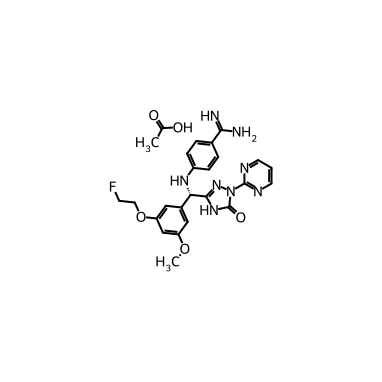 CC(=O)O.COc1cc(OCCF)cc([C@H](Nc2ccc(C(=N)N)cc2)c2nn(-c3ncccn3)c(=O)[nH]2)c1